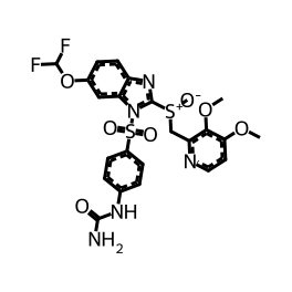 COc1ccnc(C[S+]([O-])c2nc3ccc(OC(F)F)cc3n2S(=O)(=O)c2ccc(NC(N)=O)cc2)c1OC